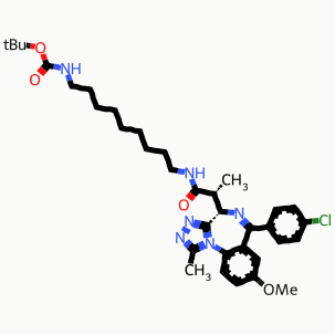 COc1ccc2c(c1)C(c1ccc(Cl)cc1)=N[C@@H]([C@@H](C)C(=O)NCCCCCCCCCNC(=O)OC(C)(C)C)c1nnc(C)n1-2